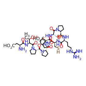 C[C@@H](O)[C@H](NC(=O)[C@@H](N)CC(=O)O)C(=O)N1CCC[C@H]1C(=O)N1CCC[C@H]1C(=O)N1CCC[C@H]1C(=O)N[C@@H](CS)C(=O)N1CCC[C@H]1C(=O)N[C@@H](CCCNC(=N)N)C(=O)N[C@@H](CS)C(=O)N1CCC[C@H]1C(=O)O